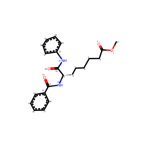 COC(=O)CCCCC[C@H](NC(=O)c1ccccc1)C(=O)Nc1ccccc1